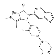 Cc1c2c(nn1C)C(=O)N(c1ccn3ccnc3c1)C2c1ccc(N2CCOC(C)C2)cc1F